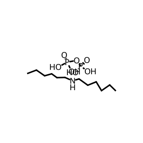 CCCCCCNCCCCCC.O=P(O)(O)OP(=O)(O)O